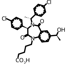 C[C@H](O)c1ccc2c(c1)C(=O)N([C@H](C)c1ccc(Cl)cc1)[C@H](c1ccc(Cl)cc1)C(=O)N2CCCCC(=O)O